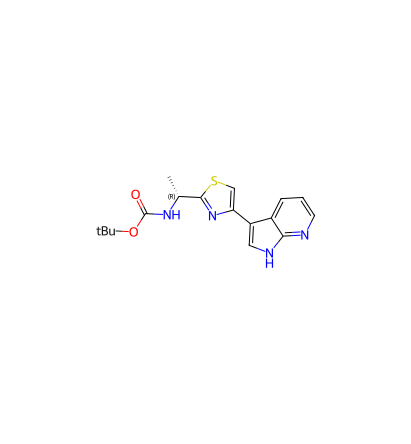 C[C@@H](NC(=O)OC(C)(C)C)c1nc(-c2c[nH]c3ncccc23)cs1